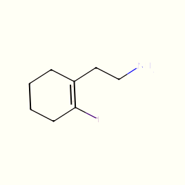 NCCC1=C(I)CCCC1